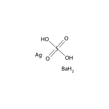 O=S(=O)(O)O.[Ag].[BaH2]